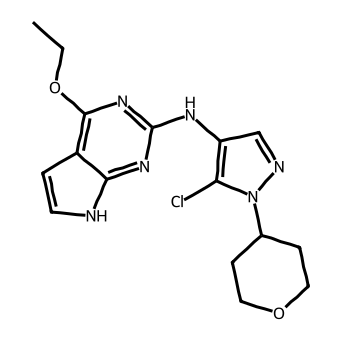 CCOc1nc(Nc2cnn(C3CCOCC3)c2Cl)nc2[nH]ccc12